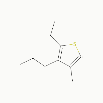 CCCc1c(C)[c]sc1CC